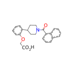 O=C(O)COc1ccccc1C1CCN(C(=O)c2cccc3ccccc23)CC1